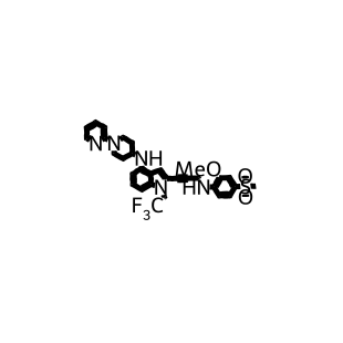 COc1cc(S(C)(=O)=O)ccc1NCC#Cc1cc2c(NC3CCN(c4ccccn4)CC3)cccc2n1CC(F)(F)F